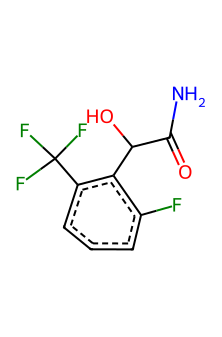 NC(=O)C(O)c1c(F)cccc1C(F)(F)F